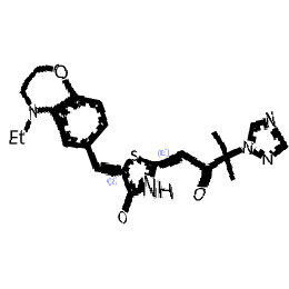 CCN1CCOc2ccc(/C=c3\s/c(=C/C(=O)C(C)(C)n4cncn4)[nH]c3=O)cc21